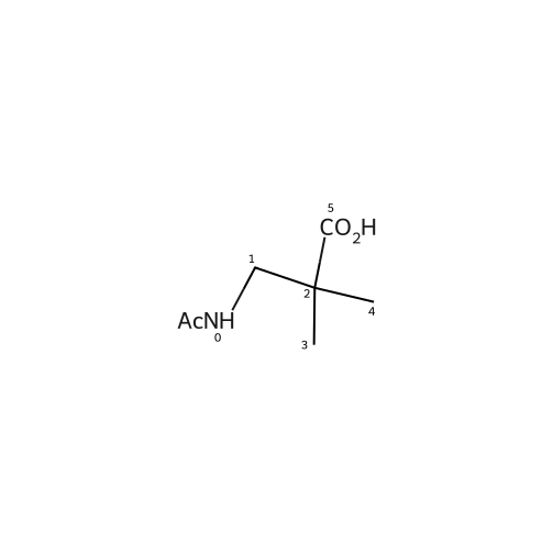 CC(=O)NCC(C)(C)C(=O)O